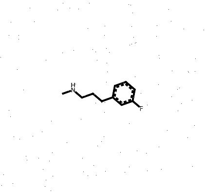 CNCC[CH]c1cccc(F)c1